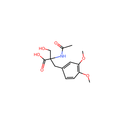 COc1ccc(CC(CO)(NC(C)=O)C(=O)O)cc1OC